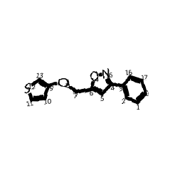 c1ccc(-c2cc(COc3ccsc3)on2)cc1